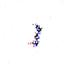 Cc1cn2cc(NC(=O)c3cnc(N4CC5CC5(NC(=O)O)C4)cn3)cc(F)c2n1